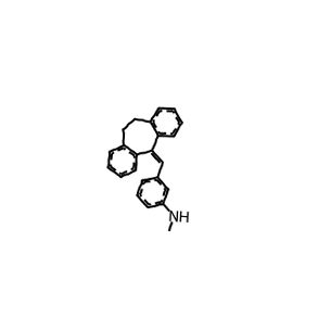 CNc1cccc(C=C2c3ccccc3CCc3ccccc32)c1